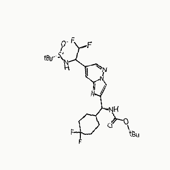 CC(C)(C)OC(=O)N[C@H](c1cn2ncc(C(N[S@@+]([O-])C(C)(C)C)C(F)F)cc2n1)C1CCC(F)(F)CC1